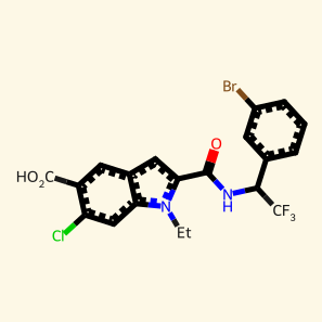 CCn1c(C(=O)NC(c2cccc(Br)c2)C(F)(F)F)cc2cc(C(=O)O)c(Cl)cc21